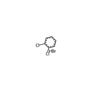 Br.Clc1ccccc1Cl